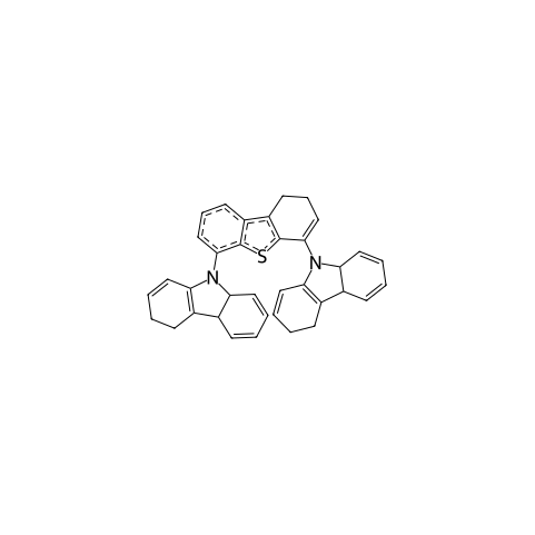 C1=CC2C3=C(C=CCC3)N(C3=CCCc4c3sc3c(N5C6=C(CCC=C6)C6C=CC=CC65)cccc43)C2C=C1